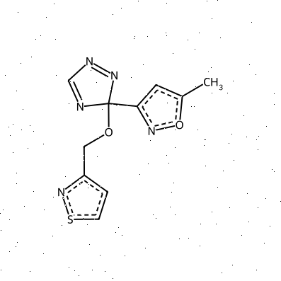 Cc1cc(C2(OCc3ccsn3)N=CN=N2)no1